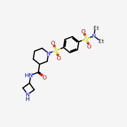 CCN(CC)S(=O)(=O)c1ccc(S(=O)(=O)N2CCCC(C(=O)NC3CNC3)C2)cc1